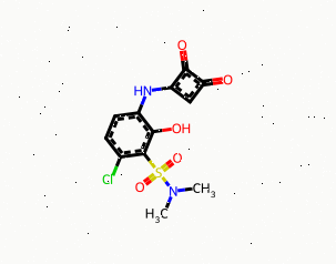 CN(C)S(=O)(=O)c1c(Cl)ccc(Nc2cc(=O)c2=O)c1O